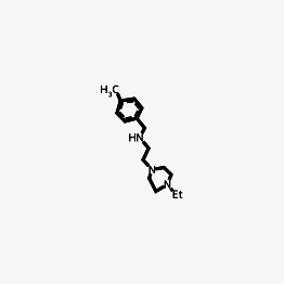 CCN1CCN(CCNCc2ccc(C)cc2)CC1